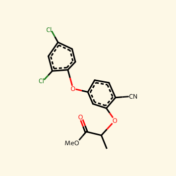 COC(=O)C(C)Oc1cc(Oc2ccc(Cl)cc2Cl)ccc1C#N